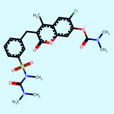 Cc1c(Cc2cccc(S(=O)(=O)N(C)C(=O)N(C)C)c2)c(=O)oc2cc(OC(=O)N(C)C)c(Cl)cc12